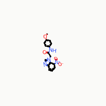 COc1ccc(NC(=O)Cn2cnc3cccc([N+](=O)[O-])c32)cc1